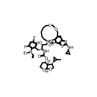 C=CN(CC)c1c(F)cc(F)cc1C[C@H](NC(=O)O[C@H]1CCO[C@H]2OC[C@H](C3CC3C)[C@H]21)[C@H](O)CN1CCCCCCCOCc2cc3nc(NC4CC4)sc3cc2S1(=O)=O